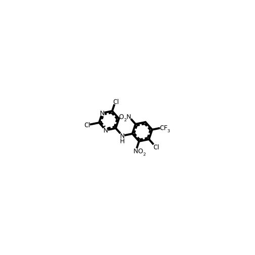 O=[N+]([O-])c1cc(C(F)(F)F)c(Cl)c([N+](=O)[O-])c1Nc1cc(Cl)nc(Cl)n1